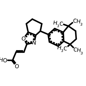 CC1(C)CCC(C)(C)c2cc(C3CCCc4oc(/C=C/C(=O)O)nc43)ccc21